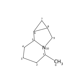 CC1CCCC2C3CC3CN12